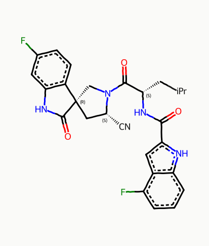 CC(C)C[C@H](NC(=O)c1cc2c(F)cccc2[nH]1)C(=O)N1C[C@]2(C[C@H]1C#N)C(=O)Nc1cc(F)ccc12